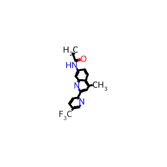 C=CC(=O)Nc1ccc2c(C)cc(-c3ccc(C(F)(F)F)cn3)nc2c1